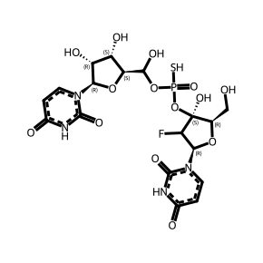 O=c1ccn([C@@H]2O[C@H](CO)[C@](O)(OP(=O)(S)OC(O)[C@H]3O[C@@H](n4ccc(=O)[nH]c4=O)[C@H](O)[C@@H]3O)C2F)c(=O)[nH]1